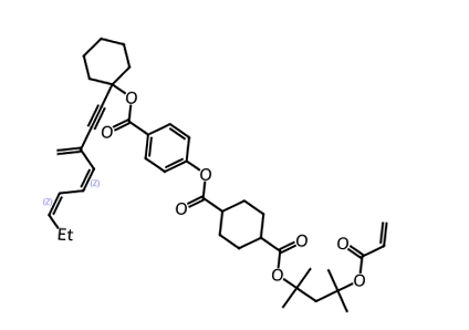 C=CC(=O)OC(C)(C)CC(C)(C)OC(=O)C1CCC(C(=O)Oc2ccc(C(=O)OC3(C#CC(=C)/C=C\C=C/CC)CCCCC3)cc2)CC1